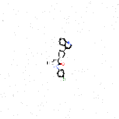 CC[C@@H](C(=O)Nc1ccc(Cl)cc1)[C@H]1CC[C@H](c2ccnc3ccccc32)CC1